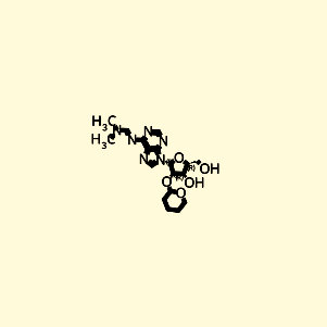 CN(C)C=Nc1ncnc2c1ncn2[C@@H]1O[C@H](CO)[C@@H](O)[C@H]1OC1CCCCO1